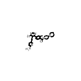 CCc1ncnc(-c2ccc(C(=O)N3CCC(N4CCCCCC4)CC3)c(C)c2)c1C#Cc1ccc(N)nc1